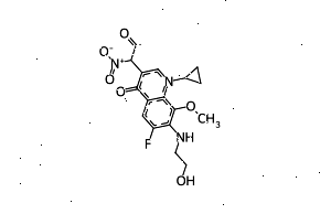 COc1c(NCCO)c(F)cc2c(=O)c(C([C]=O)[N+](=O)[O-])cn(C3CC3)c12